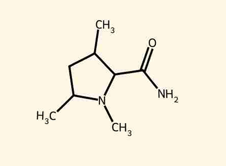 CC1CC(C)N(C)C1C(N)=O